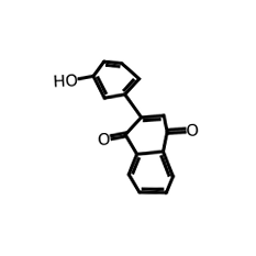 O=C1C=C(c2cccc(O)c2)C(=O)c2ccccc21